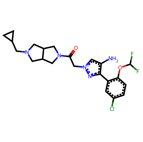 Nc1cn(CC(=O)N2CC3CN(CC4CC4)CC3C2)nc1-c1cc(Cl)ccc1OC(F)F